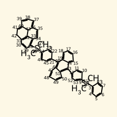 C[Si](C)(c1ccccc1)c1ccc(-c2c3ccccc3c(-c3ccc([Si](C)(C)c4ccc5c6c4C=CC4=CC=CC(=CC5)C46)cc3)c3ccccc23)cc1